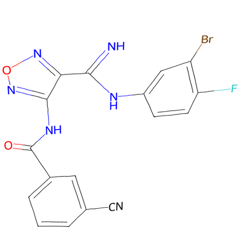 N#Cc1cccc(C(=O)Nc2nonc2C(=N)Nc2ccc(F)c(Br)c2)c1